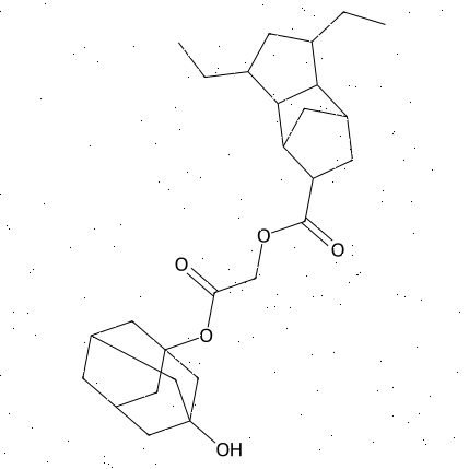 CCC1CC(CC)C2C3CC(CC3C(=O)OCC(=O)OC34CC5CC(CC(O)(C5)C3)C4)C12